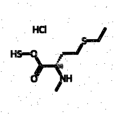 CCSCC[C@H](NC)C(=O)OS.Cl